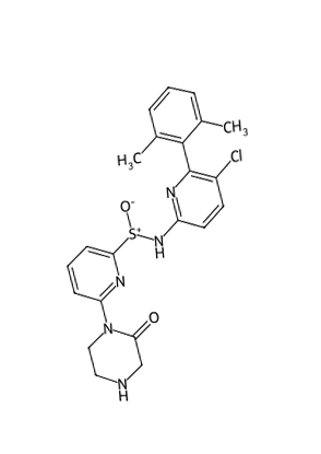 Cc1cccc(C)c1-c1nc(N[S+]([O-])c2cccc(N3CCNCC3=O)n2)ccc1Cl